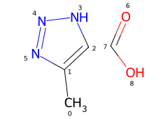 Cc1c[nH]nn1.O=CO